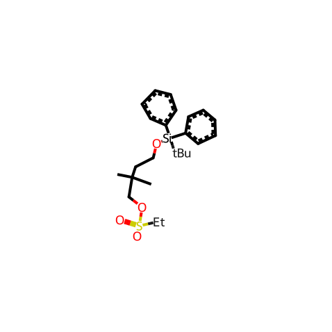 CCS(=O)(=O)OCC(C)(C)CCO[Si](c1ccccc1)(c1ccccc1)C(C)(C)C